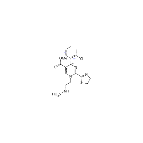 C/C=C\C(=C(/C)Cl)[C@@H]1N=C(C2=NCCS2)N(CCNS(=O)(=O)O)C=C1C(=O)OC